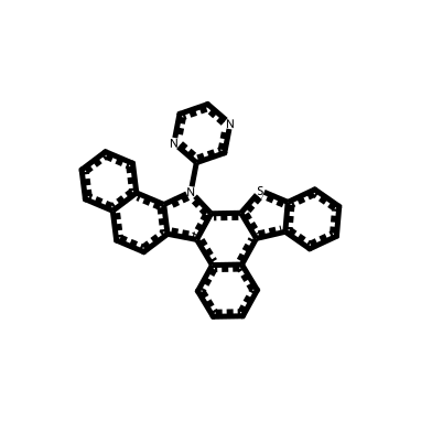 c1ccc2c(c1)ccc1c3c4ccccc4c4c5ccccc5sc4c3n(-c3cnccn3)c21